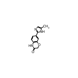 Cc1cnc(-c2ccc3c(c2)OCC(=O)N3)[nH]1